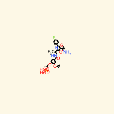 C[C@H](COc1ccc(C(=O)NC[C@H](c2cc3c(c(-c4ccc(F)cc4)n2)OC[C@]3(C)C(N)=O)C(F)(F)F)cc1OC1CC1)OP(=O)(O)O